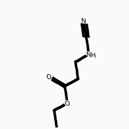 CCOC(=O)CCNC#N